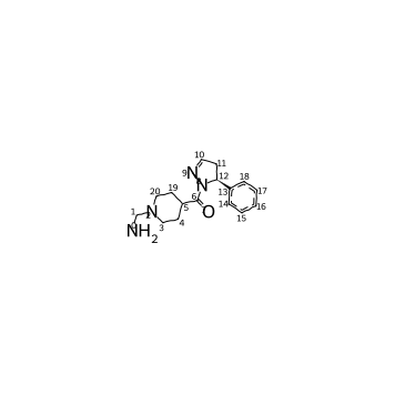 NCN1CCC(C(=O)N2N=CC[C@H]2c2ccccc2)CC1